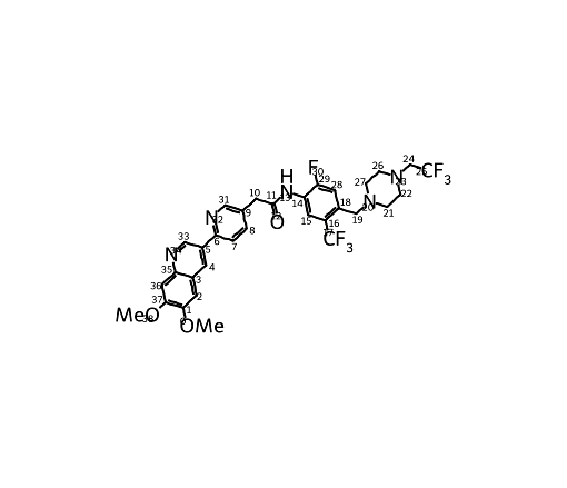 COc1cc2cc(-c3ccc(CC(=O)Nc4cc(C(F)(F)F)c(CN5CCN(CC(F)(F)F)CC5)cc4F)cn3)cnc2cc1OC